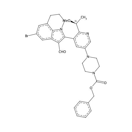 CO[C@@H](C)c1ncc(N2CCN(C(=O)OCc3ccccc3)CC2)cc1-c1c(C=O)c2cc(Br)cc3c2n1CCC3